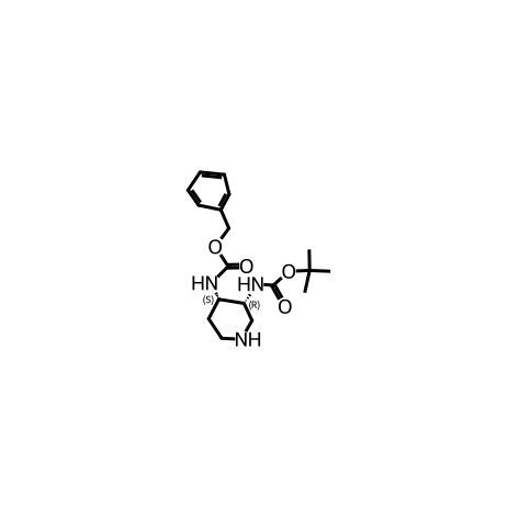 CC(C)(C)OC(=O)N[C@@H]1CNCC[C@@H]1NC(=O)OCc1ccccc1